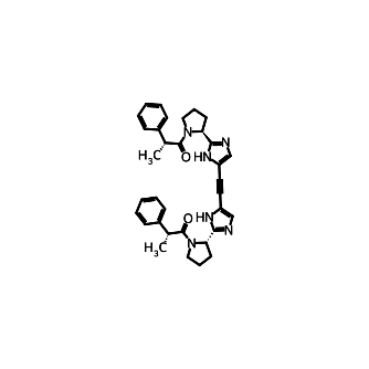 C[C@@H](C(=O)N1CCC[C@H]1c1ncc(C#Cc2cnc([C@@H]3CCCN3C(=O)[C@H](C)c3ccccc3)[nH]2)[nH]1)c1ccccc1